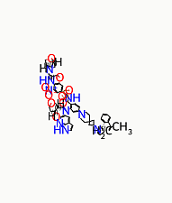 C=C(C)c1ccccc1[C@@H]1CCCN1C1CC2(CCN(c3ccc(C(=O)NS(=O)(=O)c4cc5c(c([N+](=O)[O-])c4)N[C@@H](CN4C[C@H]6C[C@@H]4CO6)CO5)c(N4C[C@@H]5COCC[C@@H]5Oc5nc6[nH]ccc6cc54)c3)CC2)C1